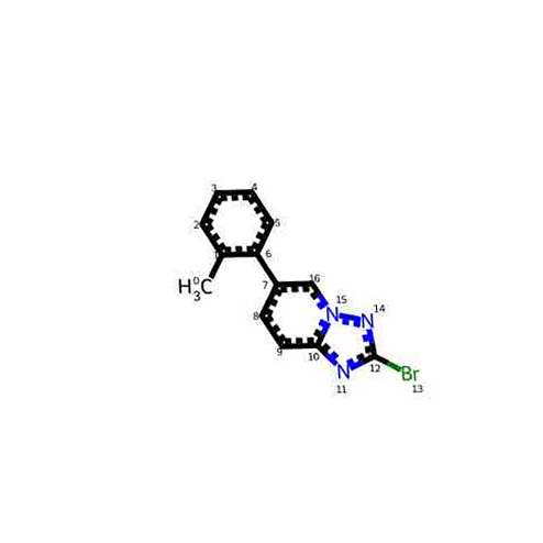 Cc1ccccc1-c1ccc2nc(Br)nn2c1